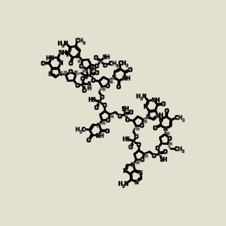 CC[C@H]1O[C@@H](n2cc(C)c(=O)[nH]c2=O)CC1OP(=O)(S)OC[C@H]1O[C@@H](n2cnc3c(N)ncnc32)CC1OP(=O)(S)OC[C@H]1O[C@@H](n2cnc3c(=O)[nH]c(N)nc32)CC1OP(=O)(S)OC[C@H]1O[C@@H](n2cc(C)c(=O)[nH]c2=O)CC1OP(=O)(S)OC[C@H]1O[C@@H](n2cc(C)c(=O)[nH]c2=O)CC1OP(=O)(S)OC[C@H]1O[C@@H](n2cnc3c(=O)[nH]c(N)nc32)CC1OP(=O)(S)OC[C@H]1O[C@@H](n2cc(C)c(N)nc2=O)CC1OP(=O)(S)OC